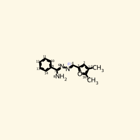 Cc1cc(/C=N/N=C(N)c2ccccc2)oc1C